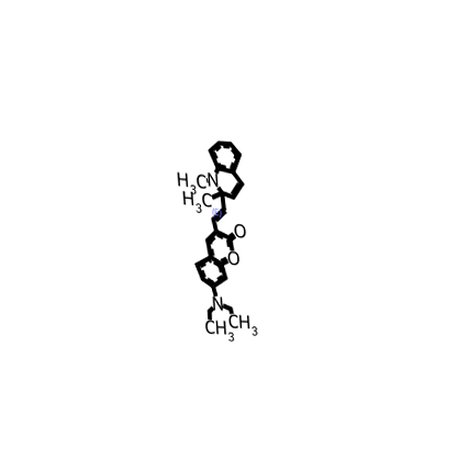 CCN(CC)c1ccc2cc(/C=C/C3(C)C=Cc4ccccc4N3C)c(=O)oc2c1